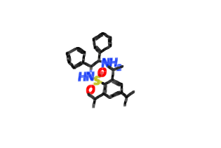 CC(C)c1cc(C(C)C)c(S(=O)(=O)NC(c2ccccc2)C(N)c2ccccc2)c(C(C)C)c1